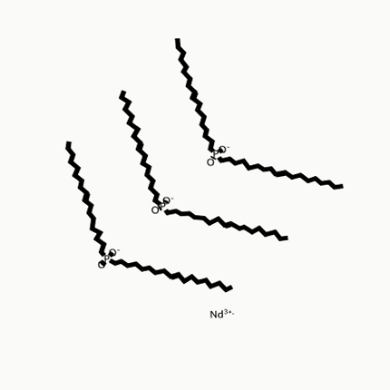 CCCCCCCCC=CCCCCCCCCP(=O)([O-])CCCCCCCCC=CCCCCCCCC.CCCCCCCCC=CCCCCCCCCP(=O)([O-])CCCCCCCCC=CCCCCCCCC.CCCCCCCCC=CCCCCCCCCP(=O)([O-])CCCCCCCCC=CCCCCCCCC.[Nd+3]